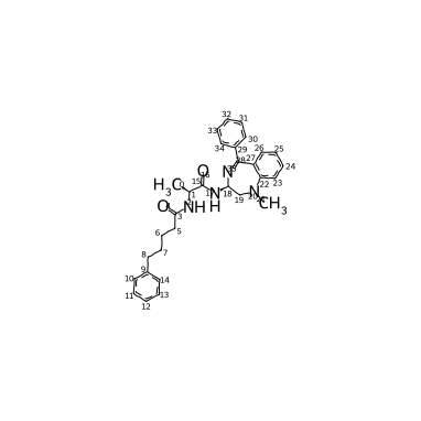 C[C@H](NC(=O)CCCCc1ccccc1)C(=O)N[C@@H]1CN(C)c2ccccc2C(c2ccccc2)=N1